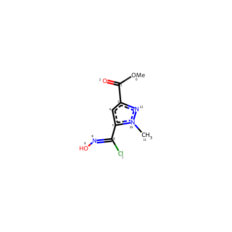 COC(=O)c1cc(C(Cl)=NO)n(C)n1